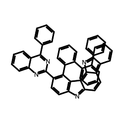 c1ccc(-c2ccccc2-c2ccccc2-c2c(-c3nc(-c4ccccc4)c4ccccc4n3)ccc3c2-c2c4c(ccc2=N3)=c2ccccc2=N4)cc1